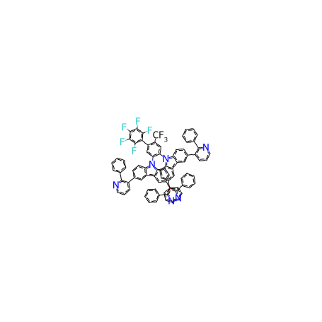 Fc1c(F)c(F)c(-c2cc(-n3c4ccc(-c5cccnc5-c5ccccc5)cc4c4cc(-c5cccnc5-c5ccccc5)ccc43)c(-n3c4ccc(-c5cccnc5-c5ccccc5)cc4c4cc(-c5cccnc5-c5ccccc5)ccc43)cc2C(F)(F)F)c(F)c1F